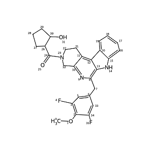 COc1c(F)cc(Cc2nc3c(c4c2[nH]c2ccccc24)CCN(C(=O)C2CCCC2O)C3)cc1F